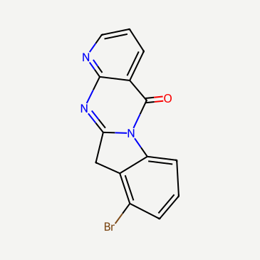 O=c1c2cccnc2nc2n1-c1cccc(Br)c1C2